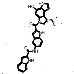 O=C(Nc1ccc2[nH]c(C(=O)N3C[C@H](CCl)c4c3cc(O)c3[nH]ccc43)cc2c1)c1cc2ccccc2[nH]1